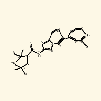 Cc1cc(-c2ccc3nc(NC(=O)C4CC(C)(C)OC4(C)C)cn3c2)ccn1